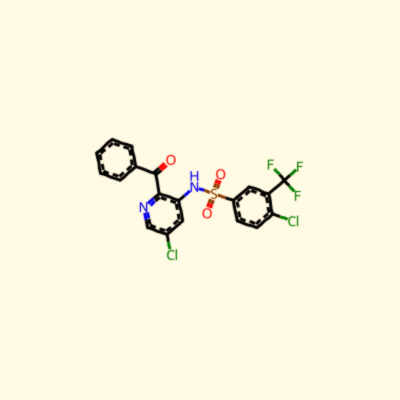 O=C(c1ccccc1)c1ncc(Cl)cc1NS(=O)(=O)c1ccc(Cl)c(C(F)(F)F)c1